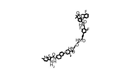 CC[C@@H]1CN(c2ccc3c(c2)CC[C@H](NC(=O)c2sc4nc(C)ccc4c2N)C3)CCC1C(=O)NCCOCCNC(=O)C#Cc1cc(F)c(CNC(=O)c2ccc3c(c2)N(Cc2c(F)cccc2Cl)C(=O)C3(C)C)c(F)c1